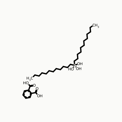 CCCCCCCCCCCCP(O)(O)(O)CCCCCCCCCCCC.O=C(O)c1ccccc1C(=O)O